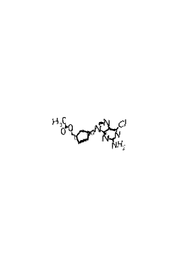 CC(=O)OC[C@@H]1C=C[C@H](n2cnc3c(Cl)nc(N)nc32)C1